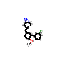 COc1ccc(Cc2cccc(N)c2)cc1-c1cccc(Cl)c1